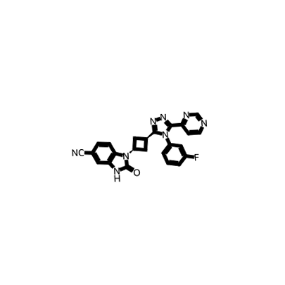 N#Cc1ccc2c(c1)[nH]c(=O)n2[C@H]1C[C@H](c2nnc(-c3ccncn3)n2-c2cccc(F)c2)C1